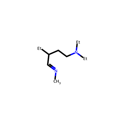 CCC(C=NC)CCN(CC)CC